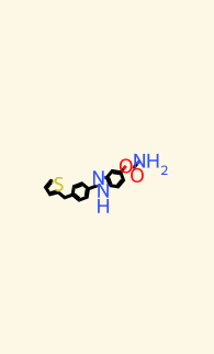 NC(=O)Oc1ccc2[nH]c(-c3ccc(Cc4cccs4)cc3)nc2c1